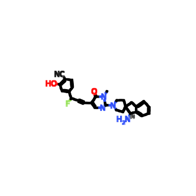 Cn1c(N2CCC3(CC2)Cc2ccccc2[C@H]3N)ncc(C#CC(F)c2ccc(C#N)c(O)c2)c1=O